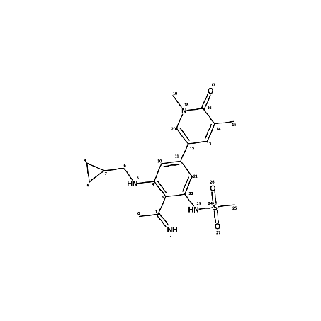 CC(=N)c1c(NCC2CC2)cc(-c2cc(C)c(=O)n(C)c2)cc1NS(C)(=O)=O